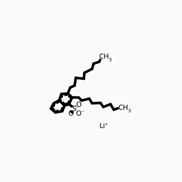 CCCCCCCCCc1cc2ccccc2c(S(=O)(=O)[O-])c1CCCCCCCCC.[Li+]